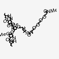 C/C=C1\C[C@H]2C=Nc3cc(OCc4cc(OCCN(C)CC(C)(C)SCC(=O)N(C)CCOCCOCCOCCOCCC(=O)NC)cc(COc5cc6c(cc5OC)C(=O)N5C/C(=C/C)C[C@H]5C=N6)n4)c(OC)cc3C(=O)N2C1